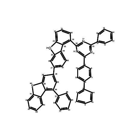 c1ccc(-c2ccc(-c3nc(-c4ccccc4)nc(-c4cccc5oc6cc(-c7cc(-c8ccccc8)c8c(c7)sc7ccccc78)ccc6c45)n3)cc2)cc1